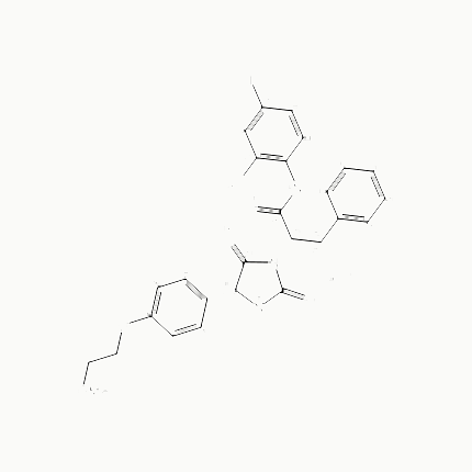 COCCOc1ccc([C@H]2NC(=O)N([C@H](C(=O)Nc3ccc(I)cc3F)[C@@H](C)c3ccccc3)C2=O)cc1